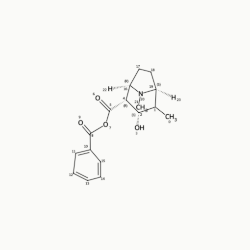 CC1[C@H](O)[C@H](C(=O)OC(=O)c2ccccc2)[C@H]2CC[C@@H]1N2C